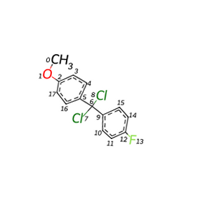 COc1ccc(C(Cl)(Cl)c2ccc(F)cc2)cc1